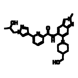 CC(O)Cn1cc(-c2cccc(C(=O)Nc3cc4cn(C)nc4cc3N3CCC(CO)CC3)n2)cn1